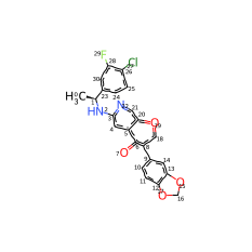 C[C@H](Nc1cc2c(=O)c(-c3ccc4c(c3)OCO4)coc2cn1)c1ccc(Cl)c(F)c1